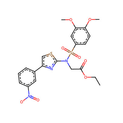 CCOC(=O)CN(c1nc(-c2cccc([N+](=O)[O-])c2)cs1)S(=O)(=O)c1ccc(OC)c(OC)c1